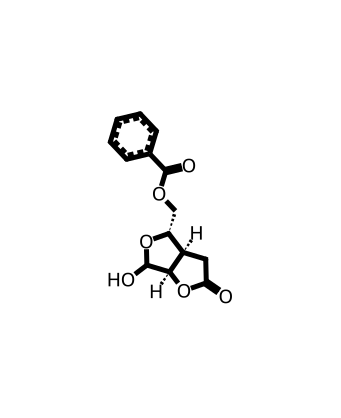 O=C1C[C@@H]2[C@@H](COC(=O)c3ccccc3)OC(O)[C@@H]2O1